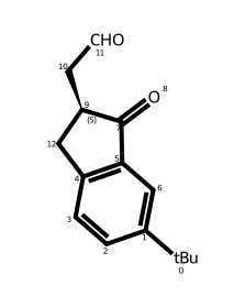 CC(C)(C)c1ccc2c(c1)C(=O)[C@H](CC=O)C2